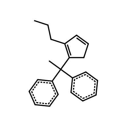 CCCC1=C(C(C)(c2ccccc2)c2ccccc2)CC=C1